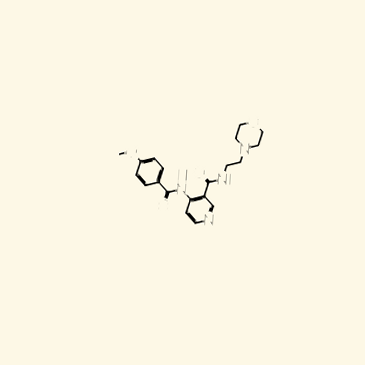 COc1ccc(C(=O)Nc2ccncc2C(=O)NCCN2CCOCC2)cc1